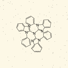 c1ccc(-n2c(N(c3nc4ccccc4n3-c3ccccc3)c3nc4ccccc4n3-c3ccccc3)nc3ccccc32)cc1